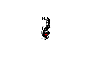 CC(=O)N1CCC[C@@H]1Cn1c(Cc2cc(F)c(-c3cccc(OCc4ccc(C)cc4F)n3)cc2F)nc2ccc(C(=O)O)cc21